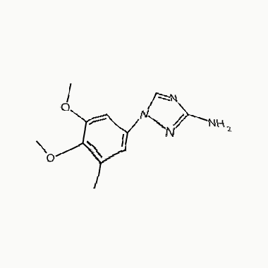 COc1cc(-n2cnc(N)n2)cc(C)c1OC